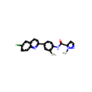 Cc1cc(-c2ccc3cc(F)ccc3n2)ccc1NC(=O)c1ccnn1C